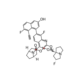 C#Cc1c(F)ccc2cc(O)cc(-c3ccc4c(N5C[C@H]6CC[C@@H](C5)N6C(=O)OCOC(C)=O)nc(OC[C@@]56CCCN5C[C@H](F)C6)nc4c3F)c12